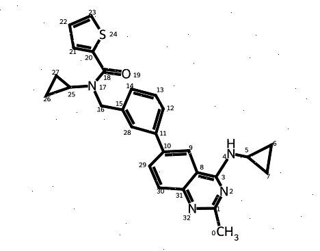 Cc1nc(NC2CC2)c2cc(-c3cccc(CN(C(=O)c4cccs4)C4CC4)c3)ccc2n1